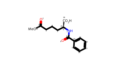 COC(=O)CCC[C@H](NC(=O)c1ccccc1)C(=O)O